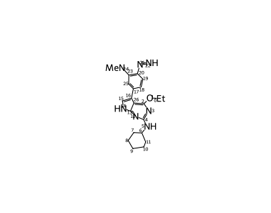 CCOc1nc(NC2CCCCC2)nc2[nH]cc(-c3ccc(N=N)c(NC)c3)c12